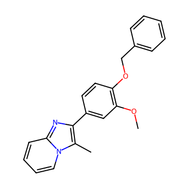 COc1cc(-c2nc3ccccn3c2C)ccc1OCc1ccccc1